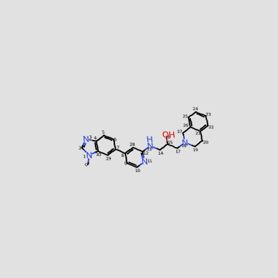 Cn1cnc2ccc(-c3ccnc(NCC(O)CN4CCc5ccccc5C4)c3)cc21